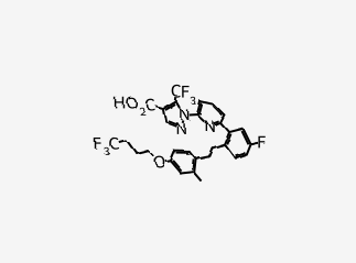 Cc1cc(OCCCC(F)(F)F)ccc1CCc1ccc(F)cc1-c1cccc(-n2ncc(C(=O)O)c2C(F)(F)F)n1